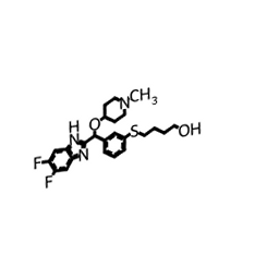 CN1CCC(OC(c2cccc(SCCCCO)c2)c2nc3cc(F)c(F)cc3[nH]2)CC1